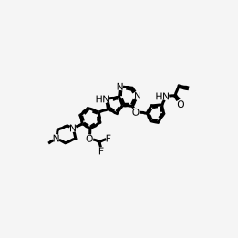 C=CC(=O)Nc1cccc(Oc2ncnc3[nH]c(-c4ccc(N5CCN(C)CC5)c(OC(F)F)c4)cc23)c1